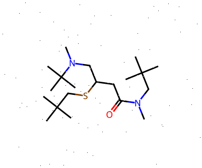 CN(CC(C)(C)C)C(=O)CC(CN(C)C(C)(C)C)SCC(C)(C)C